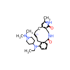 CCN(c1cccc2c1C/C=C/CCc1cc(C)[nH]c(=O)c1CNC2=O)C1CCN(N(C)C)CC1